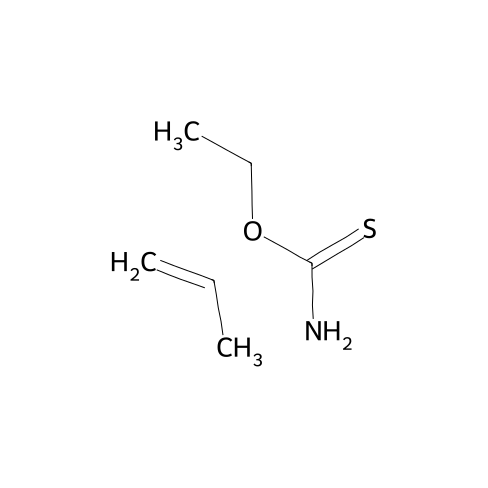 C=CC.CCOC(N)=S